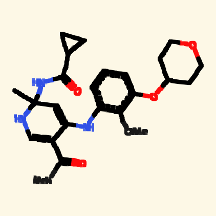 CNC(=O)C1=CNC(C)(NC(=O)C2CC2)C=C1Nc1cccc(OC2CCOCC2)c1OC